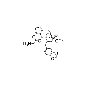 CCOP(=O)(CC(Cc1ccc2c(c1)OCO2)C(=O)C(OC(=O)CN)c1ccccc1)OCC